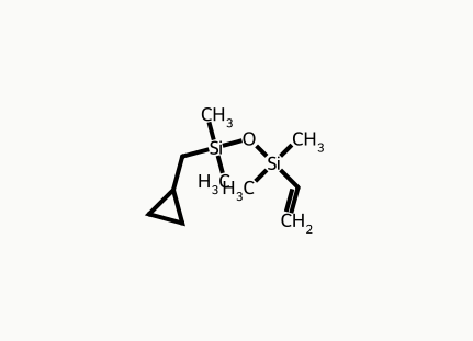 C=C[Si](C)(C)O[Si](C)(C)CC1CC1